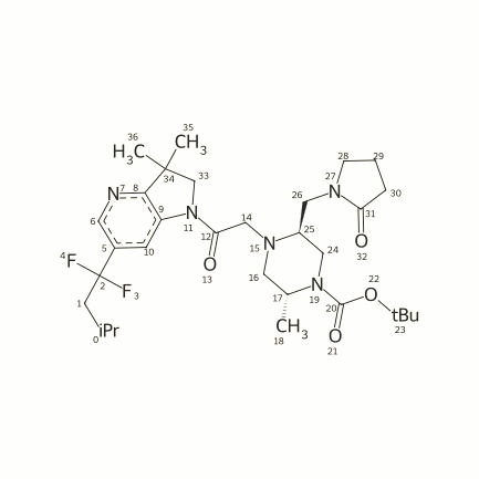 CC(C)CC(F)(F)c1cnc2c(c1)N(C(=O)CN1C[C@@H](C)N(C(=O)OC(C)(C)C)C[C@@H]1CN1CCCC1=O)CC2(C)C